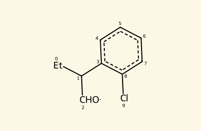 CCC([C]=O)c1ccccc1Cl